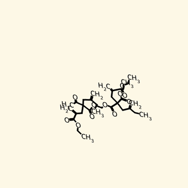 C=C(CC)CC(CC(=C)C(=O)OCC)(C(C)=O)C(=O)OCOC(=O)C(CC(=C)CC)(CC(=C)C(=O)OCC)C(=O)OCC